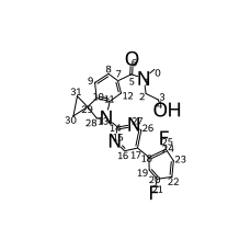 CN(CCO)C(=O)c1ccc2c(c1)N(c1ncc(-c3cc(F)ccc3F)cn1)CC21CC1